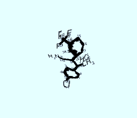 CC(c1ccc(Cl)cc1)C(CN)c1cccc(C(F)(F)F)c1.Cl